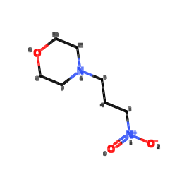 O=[N+]([O-])CCCN1CCOCC1